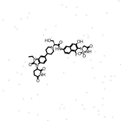 CCn1c(=O)n(C2CCC(=O)NC2=O)c2ccc(C3CCN([C@@H](CO)C(=O)Nc4ccc5c(F)c(N6CC(=O)NS6(=O)=O)c(O)cc5c4)CC3)cc21